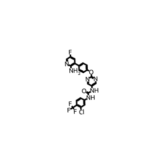 Nc1ncc(F)cc1-c1ccc(Oc2ncc(NC(=O)Nc3ccc(C(F)(F)F)c(Cl)c3)cn2)cc1